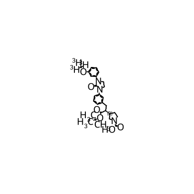 [3H]C([3H])([3H])Oc1cccc(N2CCN(c3cccc(CC(C(=O)OC(C)(C)C)[C@H]4CCN(C(=O)O)C4)c3)C2=O)c1